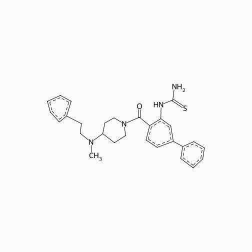 CN(CCc1ccccc1)C1CCN(C(=O)c2ccc(-c3ccccc3)cc2NC(N)=S)CC1